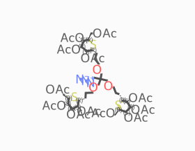 CC(=O)OC[C@H]1S[C@H](CCCOCC(CN=[N+]=[N-])(COCCC[C@H]2S[C@H](COC(C)=O)[C@@H](OC(C)=O)[C@H](OC(C)=O)[C@@H]2OC(C)=O)COCCC[C@H]2S[C@H](COC(C)=O)[C@@H](OC(C)=O)[C@H](OC(C)=O)[C@@H]2OC(C)=O)[C@@H](OC(C)=O)[C@@H](OC(C)=O)[C@@H]1OC(C)=O